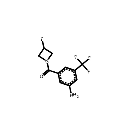 Nc1cc(C(=O)N2CC(F)C2)cc(C(F)(F)F)c1